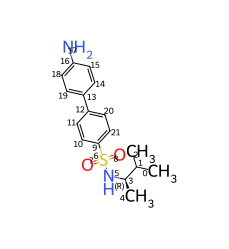 CC(C)[C@@H](C)NS(=O)(=O)c1ccc(-c2ccc(N)cc2)cc1